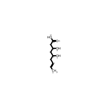 C/C=C/CC(O)CC(O)CC(=O)O